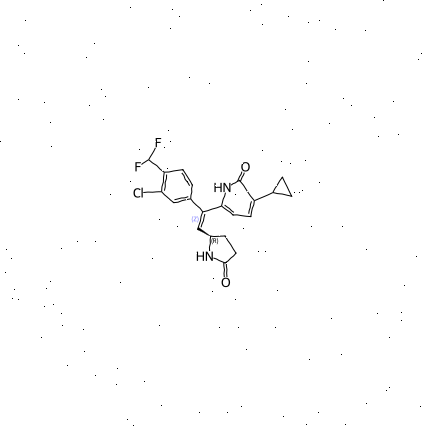 O=C1CC[C@H](/C=C(/c2ccc(C(F)F)c(Cl)c2)c2ccc(C3CC3)c(=O)[nH]2)N1